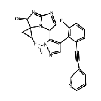 Cn1ncc(-c2c(F)cccc2C#Cc2cccnc2)c1C1C=NC2=NC(=O)C3(CC3F)N21